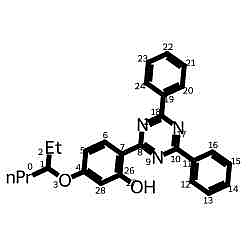 CCCC(CC)Oc1ccc(-c2nc(-c3ccccc3)nc(-c3ccccc3)n2)c(O)c1